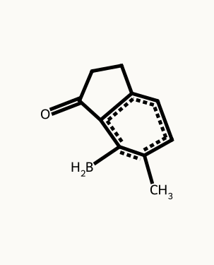 Bc1c(C)ccc2c1C(=O)CC2